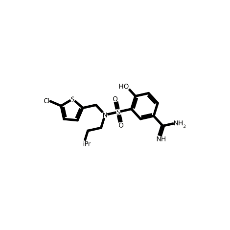 CC(C)CCN(Cc1ccc(Cl)s1)S(=O)(=O)c1cc(C(=N)N)ccc1O